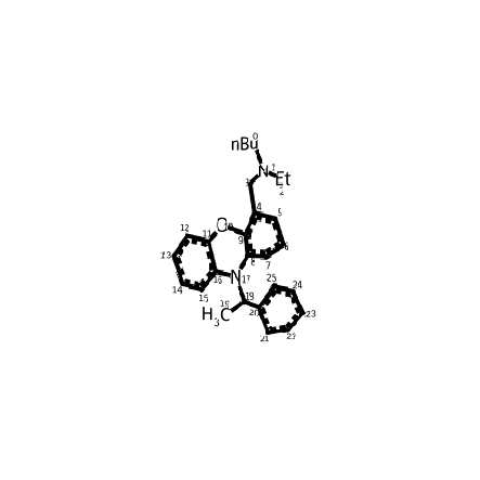 CCCCN(CC)Cc1cccc2c1Oc1ccccc1N2C(C)c1ccccc1